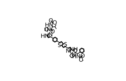 COC(=O)NC(C(=O)N1CCCC1c1nc(-c2cc3sc(-c4ccc(-c5c[nH]c([C@@H]6C=CCN6C(=O)[C@@H](NC(=O)OC)C(C)C)n5)cc4)cc3s2)c[nH]1)c1ccccc1